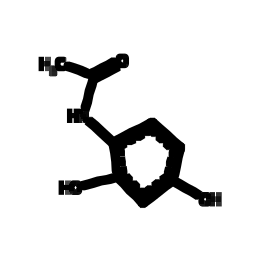 CC(=O)Nc1ccc(O)cc1O